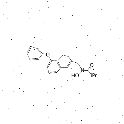 CC(C)C(=O)N(O)CC1=Cc2cccc(Oc3ccccc3)c2CC1